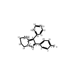 Fc1ccc(-c2nn3c(c2-c2ccncn2)NCCC3)cc1